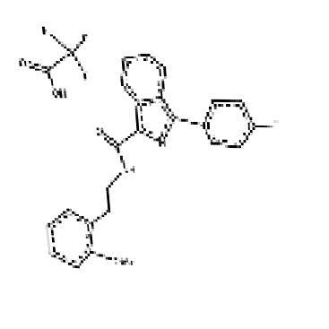 COc1ccccc1CCNC(=O)c1nc(-c2ccc(F)cc2)c2ccccn12.O=C(O)C(F)(F)F